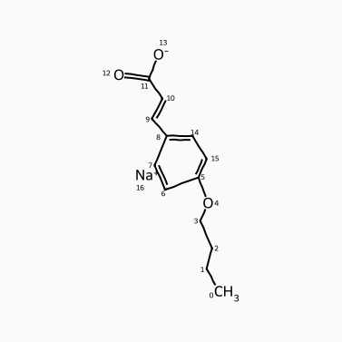 CCCCOc1ccc(C=CC(=O)[O-])cc1.[Na+]